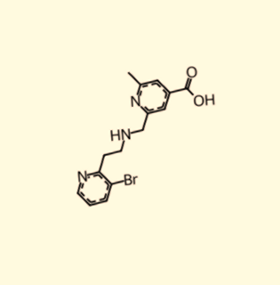 Cc1cc(C(=O)O)cc(CNCCc2ncccc2Br)n1